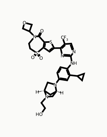 O=C1c2sc(-c3nc(Nc4ccc(N5C[C@H]6C[C@@H]5CN6CCO)cc4C4CC4)ncc3C(F)(F)F)cc2S(=O)(=O)CCN1C1COC1